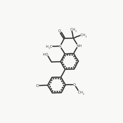 COc1ccc(Cl)cc1-c1ccc2c(c1CO)N(C)C(=O)C(C)(C)N2